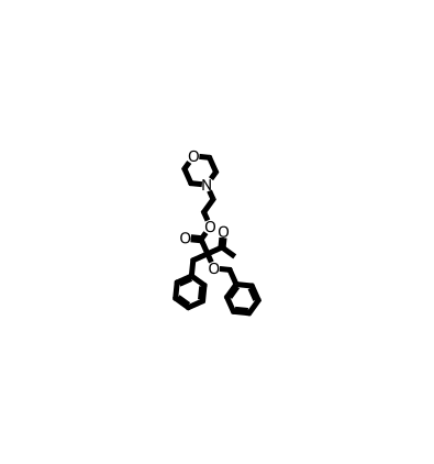 CC(=O)C(Cc1ccccc1)(OCc1ccccc1)C(=O)OCCN1CCOCC1